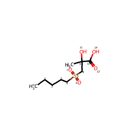 CCCCCS(=O)(=O)CC(C)(O)C(=O)O